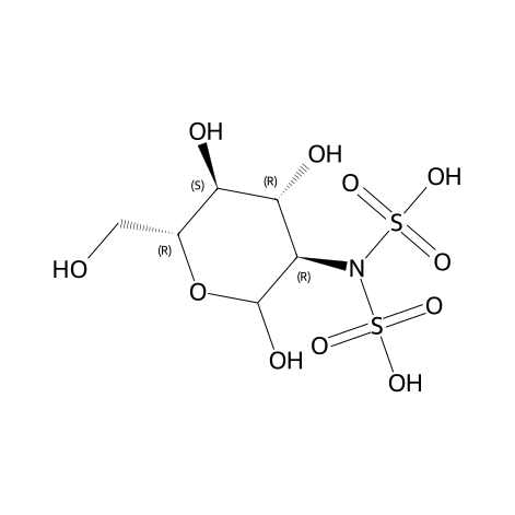 O=S(=O)(O)N([C@H]1C(O)O[C@H](CO)[C@@H](O)[C@@H]1O)S(=O)(=O)O